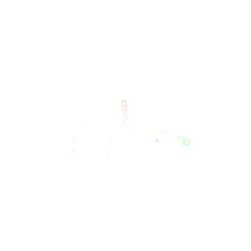 O=C(/C=C/Cl)C1CCCCC1